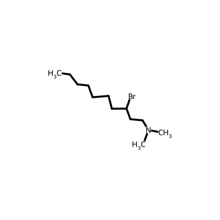 CCCCCCCC(Br)CCN(C)C